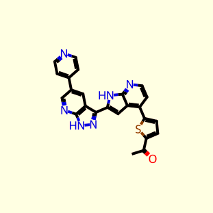 CC(=O)c1ccc(-c2ccnc3[nH]c(-c4n[nH]c5ncc(-c6ccncc6)cc45)cc23)s1